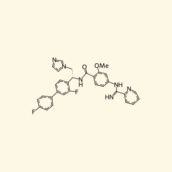 COc1cc(NC(=N)c2ccccn2)ccc1C(=O)N[C@@H](Cn1ccnc1)c1ccc(-c2ccc(F)cc2)cc1F